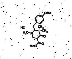 COC(=O)C1CN(C)C(Cc2ccc(OC)cc2)C(C)(C)C1=O.Cl